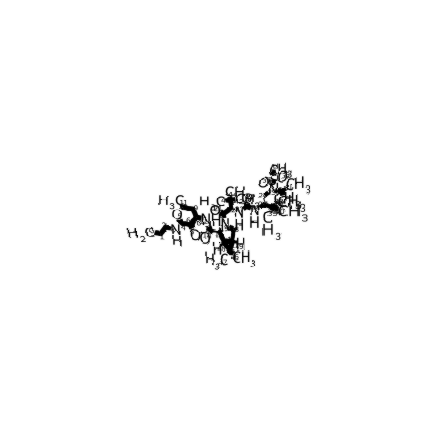 C=CCNC(=O)C(=O)C(CCC)NC(=O)[C@@H]1[C@@H]2[C@H](CN1C(=O)[C@@H](NC(=O)N[C@H](CN(C(C)C)S(C)(=O)=O)C(C)(C)C)C(C)(C)C)C2(C)C